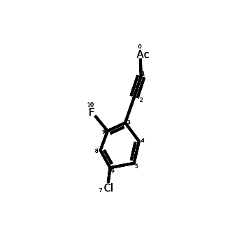 CC(=O)C#Cc1ccc(Cl)cc1F